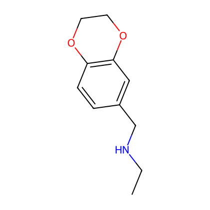 CCNCc1ccc2c(c1)OCCO2